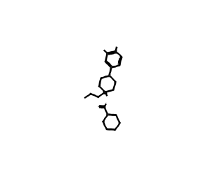 CCCC1(OC(=O)C2CCCCC2)CCC(c2ccc(F)c(F)c2)CC1